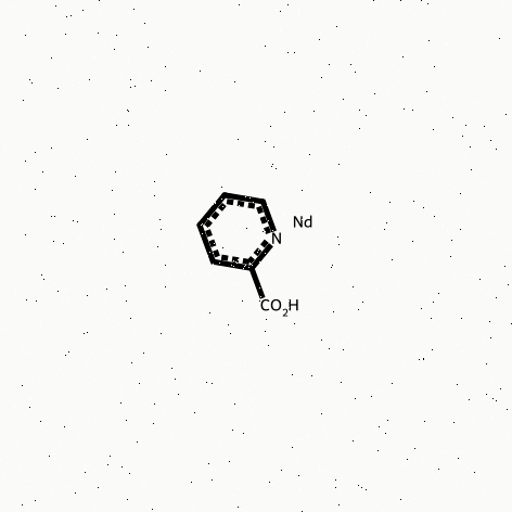 O=C(O)c1ccccn1.[Nd]